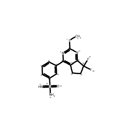 CSc1nc(-c2cccc(S(=N)(N)=O)c2)c2c(n1)C(F)(F)CC2